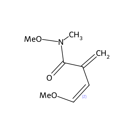 C=C(/C=C\OC)C(=O)N(C)OC